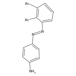 CC(=O)c1cccc(N=Nc2ccc(N)cc2)c1C(C)=O